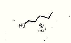 CCCCCO.Cl.N